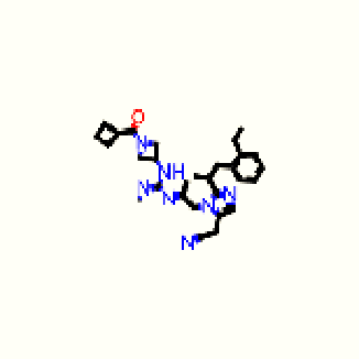 CCc1ccccc1CC(C)c1ncc(CC#N)n1C/C(C)=N/C(=N\C)NC1CN(C(=O)C2CCC2)C1